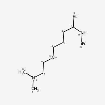 CCC(CCCNCCN(C)C)NC(C)C